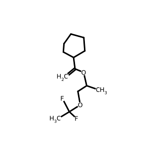 C=C(OC(C)COC(C)(F)F)C1CCCCC1